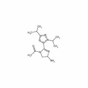 CC(=O)N1CC(N)N=C1c1cc(C(C)C)nn1C(C)C